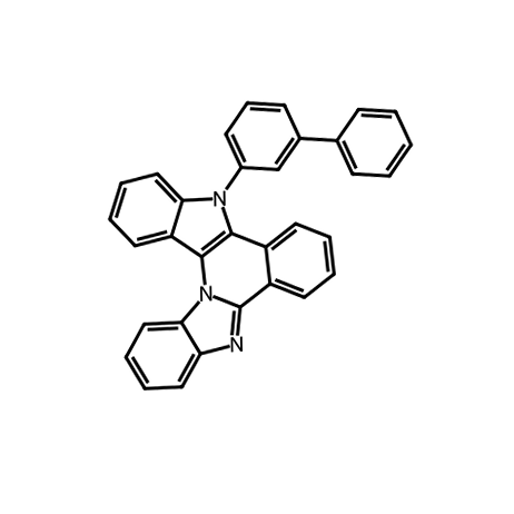 c1ccc(-c2cccc(-n3c4ccccc4c4c3c3ccccc3c3nc5ccccc5n34)c2)cc1